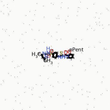 CCCCCOc1ccccc1C(=O)NC(=S)Nc1ccc(S(=O)(=O)Nc2nc(C)cc(C)n2)cc1